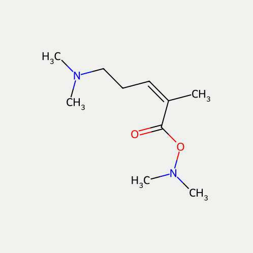 CC(=CCCN(C)C)C(=O)ON(C)C